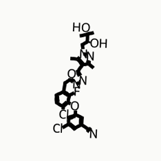 Cc1nn(C[C@H](O)C(C)(C)O)c(C)c1-c1nnc(Cc2ccc(Cl)c(Oc3cc(Cl)cc(C#N)c3)c2F)o1